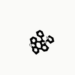 c1ccc(-c2c3c4c(cccc4n2-c2ccccn2)-c2cccc4oc5cccc-3c5c24)cc1